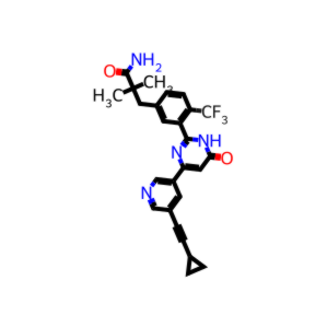 CC(C)(Cc1ccc(C(F)(F)F)c(-c2nc(-c3cncc(C#CC4CC4)c3)cc(=O)[nH]2)c1)C(N)=O